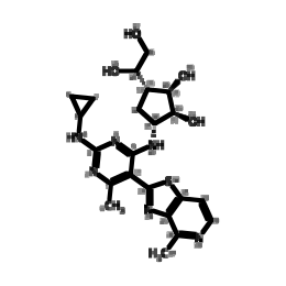 Cc1nc(NC2CC2)nc(N[C@@H]2C[C@H](C(O)CO)[C@@H](O)[C@H]2O)c1-c1nc2c(C)nccc2s1